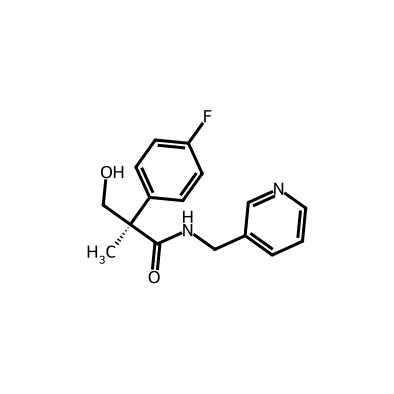 C[C@@](CO)(C(=O)NCc1cccnc1)c1ccc(F)cc1